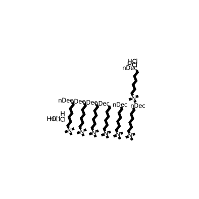 CCCCCCCCCCCCCCCC[N+](C)(C)C.CCCCCCCCCCCCCCCC[N+](C)(C)C.CCCCCCCCCCCCCCCC[N+](C)(C)C.CCCCCCCCCCCCCCCC[N+](C)(C)C.CCCCCCCCCCCCCCCC[N+](C)(C)C.CCCCCCCCCCCCCCCC[N+](C)(C)C.CCCCCCCCCCCCCCCC[N+](C)(C)C.Cl.Cl.Cl.Cl.Cl